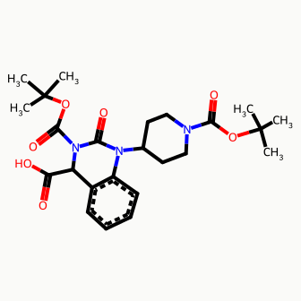 CC(C)(C)OC(=O)N1CCC(N2C(=O)N(C(=O)OC(C)(C)C)C(C(=O)O)c3ccccc32)CC1